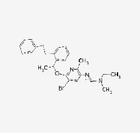 CCN(C)/C=N/c1cc(Br)c(OC(C)c2ccccc2CCc2ccccc2)nc1C